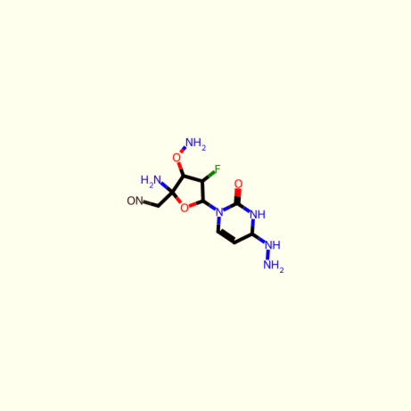 NNC1C=CN(C2OC(N)(CN=O)C(ON)C2F)C(=O)N1